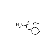 Cl.NC(=S)CN1CCCCC1